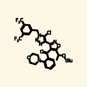 CC(OC(C)(C)C)c1onc(-c2nnn(Cc3cc(C(F)(F)F)cc(C(F)(F)F)c3)c2Cl)c1C(=O)c1ccccc1N1CCOCC1